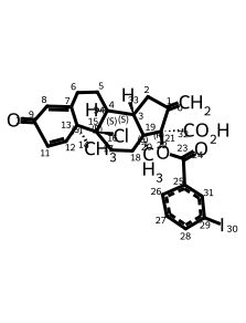 C=C1C[C@H]2[C@@H]3CCC4=CC(=O)C=C[C@]4(C)[C@@]3(Cl)CC[C@]2(C)[C@@]1(OC(=O)c1cccc(I)c1)C(=O)O